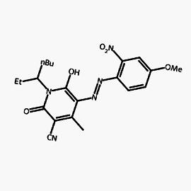 CCCCC(CC)n1c(O)c(/N=N/c2ccc(OC)cc2[N+](=O)[O-])c(C)c(C#N)c1=O